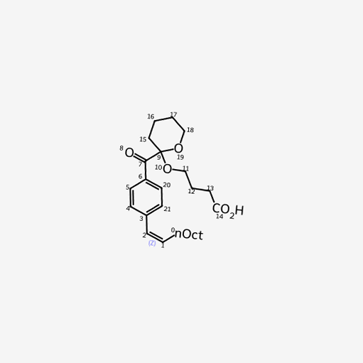 CCCCCCCC/C=C\c1ccc(C(=O)C2(OCCCC(=O)O)CCCCO2)cc1